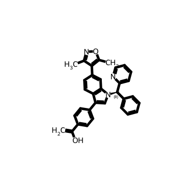 C=C(O)c1ccc(-c2cn([C@H](c3ccccc3)c3ccccn3)c3cc(-c4c(C)noc4C)ccc23)cc1